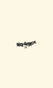 Cc1nc(N2CCC(N(C)C)CC2)nc2ccc(NC(=O)CCc3ccc(OC(F)(F)F)cc3F)cc12